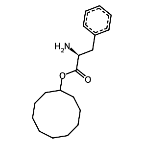 N[C@@H](Cc1ccccc1)C(=O)OC1CCCCCCCCC1